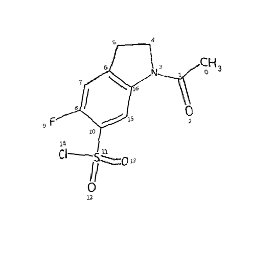 CC(=O)N1CCc2cc(F)c(S(=O)(=O)Cl)cc21